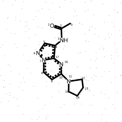 CC(=O)Nc1cnn2ccc(N3CCCC3)nc12